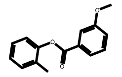 COc1cccc(C(=O)Oc2ccccc2C)c1